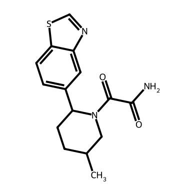 CC1CCC(c2ccc3scnc3c2)N(C(=O)C(N)=O)C1